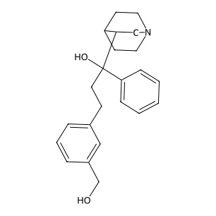 OCc1cccc(CCC(O)(c2ccccc2)C2CN3CCC2CC3)c1